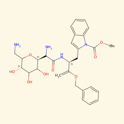 C=C(OCc1ccccc1)[C@H](Cc1cc2ccccc2n1C(=O)OC(C)(C)C)NC(=O)C(N)[C@@H]1OC(CN)[C@@H](O)C(O)C1O